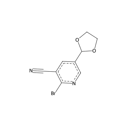 N#Cc1cc(C2OCCO2)cnc1Br